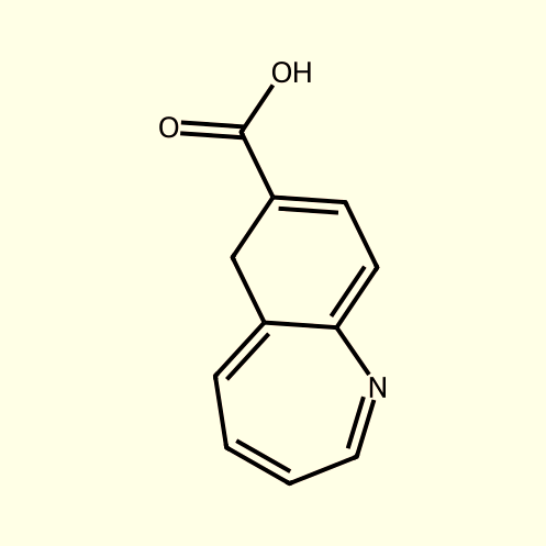 O=C(O)C1=CC=C2N=CC=CC=C2C1